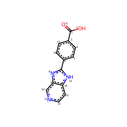 O=C(O)c1ccc(-c2nc3cnccc3[nH]2)cc1